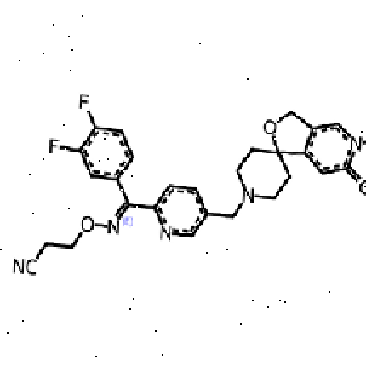 Cn1cc2c(cc1=O)C1(CCN(Cc3ccc(/C(=N/OCCC#N)c4ccc(F)c(F)c4)nc3)CC1)OC2